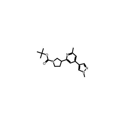 Cc1cc(-c2cnn(C)c2)cc(C2CCN(C(=O)OC(C)(C)C)C2)n1